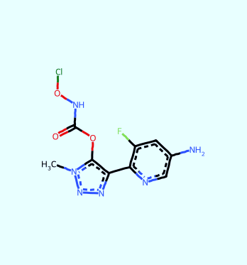 Cn1nnc(-c2ncc(N)cc2F)c1OC(=O)NOCl